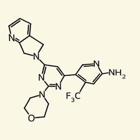 Nc1cc(C(F)(F)F)c(-c2cc(N3Cc4cccnc4C3)nc(N3CCOCC3)n2)cn1